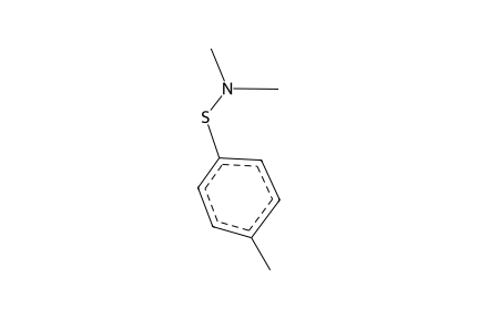 Cc1ccc(SN(C)C)cc1